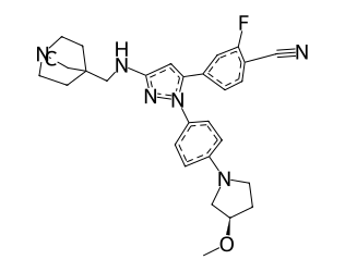 CO[C@@H]1CCN(c2ccc(-n3nc(NCC45CCN(CC4)CC5)cc3-c3ccc(C#N)c(F)c3)cc2)C1